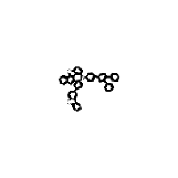 c1ccc(-c2ccc(-c3ccc(N(c4ccc(-c5ccc6oc7ccccc7c6c5)cc4)c4cccc5oc6c7ccccc7ccc6c45)cc3)cc2-c2ccccc2)cc1